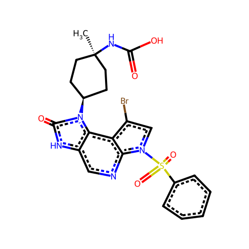 C[C@]1(NC(=O)O)CC[C@@H](n2c(=O)[nH]c3cnc4c(c(Br)cn4S(=O)(=O)c4ccccc4)c32)CC1